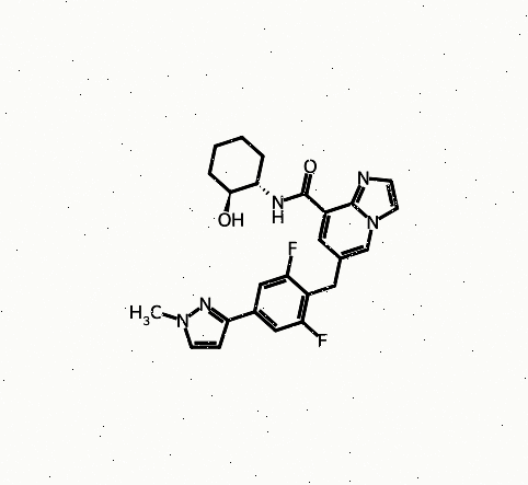 Cn1ccc(-c2cc(F)c(Cc3cc(C(=O)N[C@H]4CCCC[C@@H]4O)c4nccn4c3)c(F)c2)n1